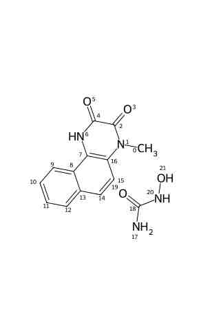 Cn1c(=O)c(=O)[nH]c2c3ccccc3ccc21.NC(=O)NO